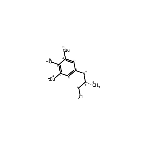 C[C@H](CCl)Sc1cc(C(C)(C)C)c(O)c(C(C)(C)C)c1